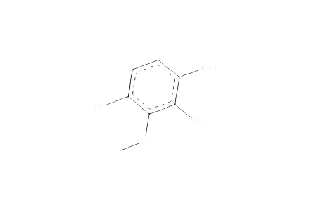 COc1c(Br)c[c]c(O)c1Br